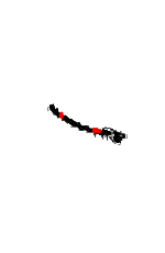 CCCCCCCCCCCCCCCCCC(=O)NC(C)N(C)C